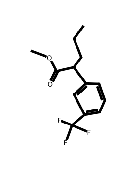 CCCC(C(=O)OC)c1cccc(C(F)(F)F)c1